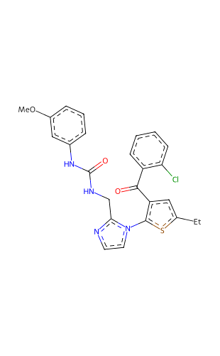 CCc1cc(C(=O)c2ccccc2Cl)c(-n2ccnc2CNC(=O)Nc2cccc(OC)c2)s1